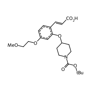 COCCOc1ccc(C=CC(=O)O)c(OC2CCN(C(=O)OC(C)(C)C)CC2)c1